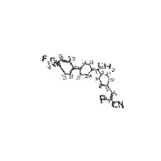 C=C(C1CCC(C=C(F)C#N)CC1)C1CCC(c2ccc(C(F)(F)F)cc2)CC1